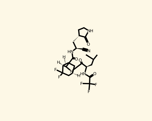 CC(C)C[C@@H](NC(=O)C(F)(F)F)C(=O)N1[C@H]2CC[C@@H]([C@H]1C(=O)N[C@H](C#N)C[C@@H]1CCNC1=O)C(F)(F)C2